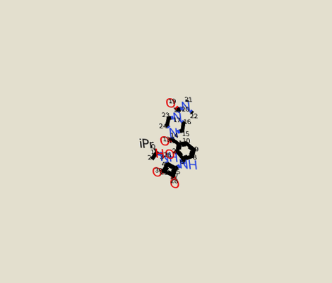 CC(C)[C@H](C)Nc1c(Nc2cccc(C(=O)N3CCN(C(=O)N(C)C)CC3)c2O)c(=O)c1=O